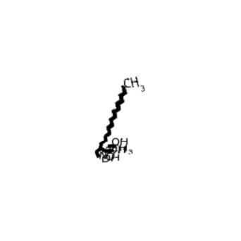 CCCCCCCCCCCCCCCCC1CCN(O)[C@]1(CC(C)O)C(=O)O